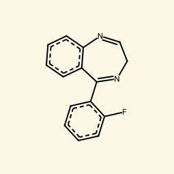 Fc1ccccc1C1=NCC=Nc2ccccc21